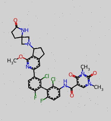 COc1nc(-c2ccc(F)c(-c3c(F)ccc(NC(=O)c4cn(C)c(=O)n(C)c4=O)c3Cl)c2Cl)cc2c1C(N1CC3(CCC(=O)N3)C1)CC2